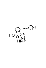 O=C(O)c1cccc(C#Cc2ccc(F)cc2)c1-c1ccc2cc[nH]c2c1